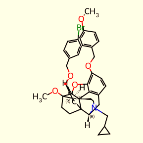 COc1ccc(COc2ccc3c4c2O[C@H]2C5(OC)CCC6(C[C@@H]5COCc5ccc(Br)cc5)[C@@H](C3)N(CC3CC3)CC[C@]426)cc1